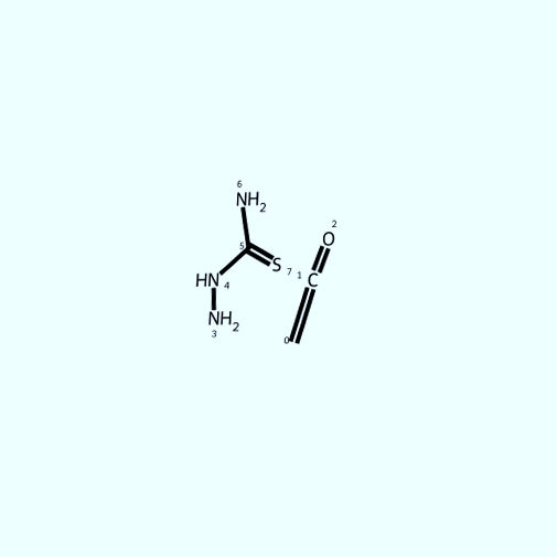 C=C=O.NNC(N)=S